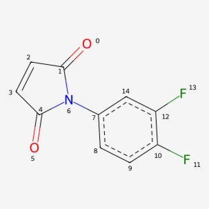 O=C1C=CC(=O)N1c1ccc(F)c(F)c1